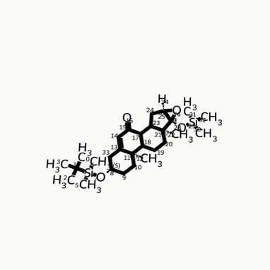 CC(C)(C)[Si](C)(C)O[C@H]1CC[C@@]2(C)C(=CC(=O)C3C2CC[C@@]2(C)C3C[C@H]3O[C@]32O[Si](C)(C)C)C1